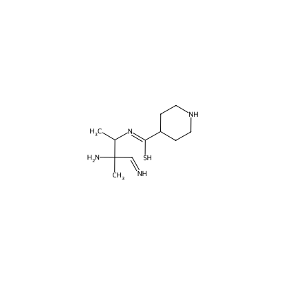 CC(/N=C(\S)C1CCNCC1)C(C)(N)C=N